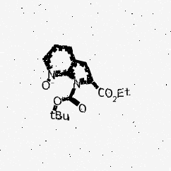 CCOC(=O)c1cc2ccc[n+]([O-])c2n1C(=O)OC(C)(C)C